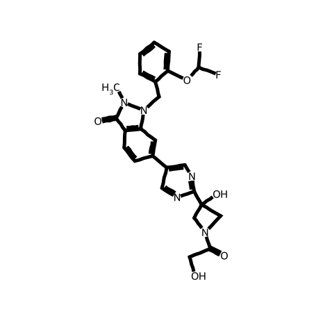 Cn1c(=O)c2ccc(-c3cnc(C4(O)CN(C(=O)CO)C4)nc3)cc2n1Cc1ccccc1OC(F)F